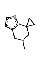 CN1Cc2ccnn2C2(CC2)C1